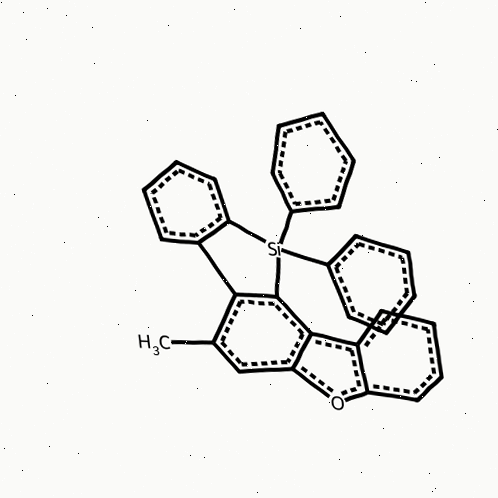 Cc1cc2oc3ccccc3c2c2c1-c1ccccc1[Si]2(c1ccccc1)c1ccccc1